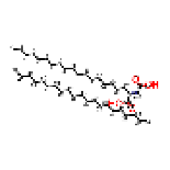 CCCCCCCCCCCCCCCCCC/C(=C\C(=O)O)C(=O)O.CCCCCCCCCCCCCCCCCCCCC